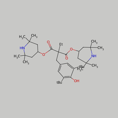 CCC(Cc1cc(C(C)(C)C)c(O)c(C(C)(C)C)c1)(C(=O)OC1CC(C)(C)NC(C)(C)C1)C(=O)OC1CC(C)(C)NC(C)(C)C1